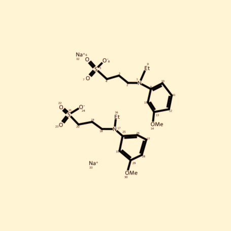 CCN(CCCS(=O)(=O)[O-])c1cccc(OC)c1.CCN(CCCS(=O)(=O)[O-])c1cccc(OC)c1.[Na+].[Na+]